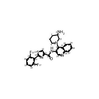 NC1CCCN(c2c(NC(=O)c3csc(-c4c(F)cccc4F)n3)cnc3ccccc23)C1